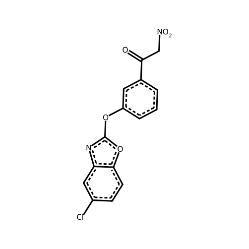 O=C(C[N+](=O)[O-])c1cccc(Oc2nc3cc(Cl)ccc3o2)c1